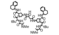 CN[C@@H](C)C(=O)NC(C(=O)N1C[C@@H](NC(=O)C(O)CC(=O)N[C@H]2C[C@@H](C(=O)N[C@@H]3CCCc4ccccc43)N(C(=O)[C@@H](NC(=O)[C@H](C)NC)C(C)(C)C)C2)CC1C(=O)N[C@@H]1CCCc2ccccc21)C(C)(C)C